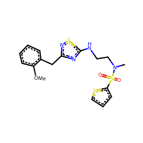 COc1ccccc1Cc1nsc(NCCN(C)S(=O)(=O)c2cccs2)n1